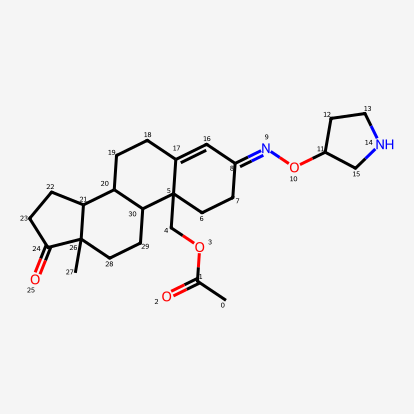 CC(=O)OCC12CCC(=NOC3CCNC3)C=C1CCC1C3CCC(=O)C3(C)CCC12